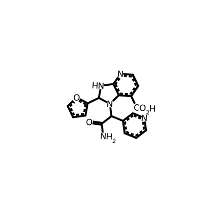 NC(=O)C(c1cccnc1)N1c2c(C(=O)O)ccnc2NC1c1ccco1